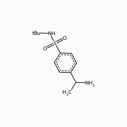 CC(N)c1ccc(S(=O)(=O)NC(C)(C)C)cc1